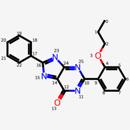 CCCOc1ccccc1C1=NC(=O)C2=NC(c3ccccc3)=NC2=N1